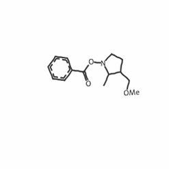 COCC1CCN(OC(=O)c2ccccc2)C1C